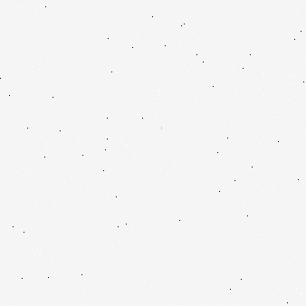 c1ccc2c(c1)OC1CC1O2